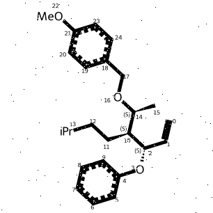 C=C[C@H](Oc1ccccc1)[C@@H](CCC(C)C)[C@H](C)OCc1ccc(OC)cc1